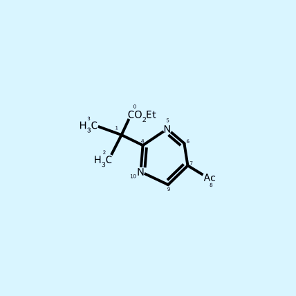 CCOC(=O)C(C)(C)c1ncc(C(C)=O)cn1